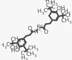 CC(C)(C)C1=CC(CCC(=O)[N+][N+]C(=O)CCc2cc(C(C)(C)C)c(O)c(C(C)(C)C)c2)CC(C(C)(C)C)=C1O